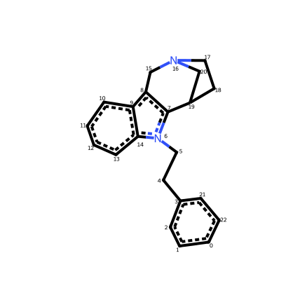 c1ccc(CCn2c3c(c4ccccc42)CN2CCC3C2)cc1